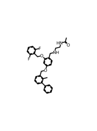 CC(=O)NCCNCc1ccc(OCc2cccc(-c3ccccc3)c2C)cc1OCc1c(F)cccc1F